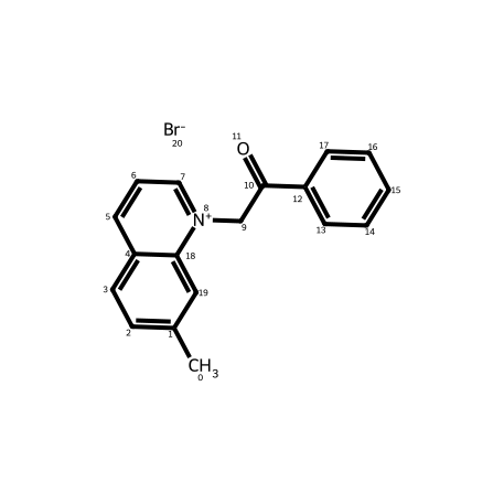 Cc1ccc2ccc[n+](CC(=O)c3ccccc3)c2c1.[Br-]